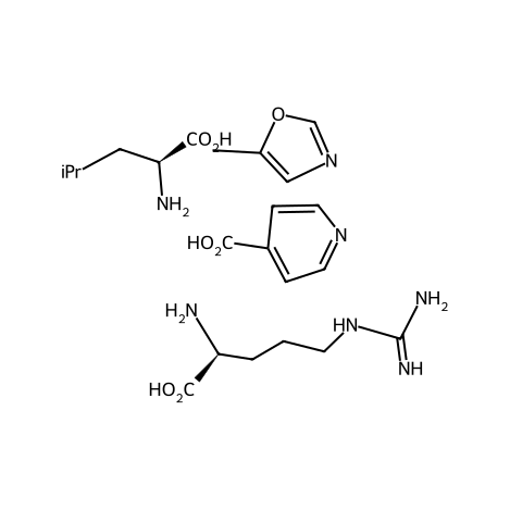 CC(C)C[C@H](N)C(=O)O.Cc1cnco1.N=C(N)NCCC[C@H](N)C(=O)O.O=C(O)c1ccncc1